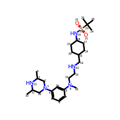 CC1CN(c2cccc(N(C)CCNCC3CCC(NS(=O)(=O)C(C)(C)C)CC3)c2)CC(C)N1